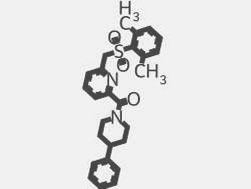 Cc1cccc(C)c1S(=O)(=O)Cc1cccc(C(=O)N2CCC(c3ccccc3)CC2)n1